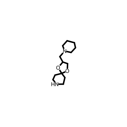 C1CCN(CC2COC3(CCNCC3)O2)CC1